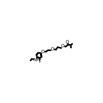 CCNc1ccc(OCCCOCCCOCC(=O)C(C)C)cc1F